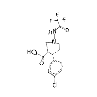 O=C(O)C1CN(NC(=O)C(F)(F)F)CCC1c1ccc(Cl)cc1